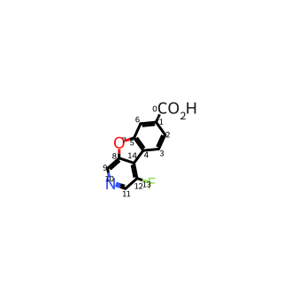 O=C(O)c1ccc2c(c1)oc1cncc(F)c12